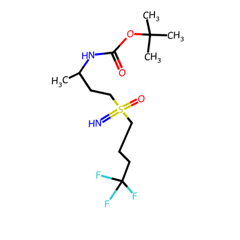 CC(CCS(=N)(=O)CCCC(F)(F)F)NC(=O)OC(C)(C)C